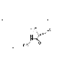 CC/C=C(\C)C(=O)NCCC